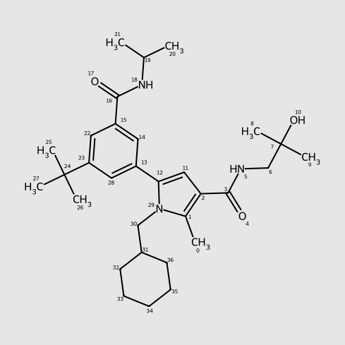 Cc1c(C(=O)NCC(C)(C)O)cc(-c2cc(C(=O)NC(C)C)cc(C(C)(C)C)c2)n1CC1CCCCC1